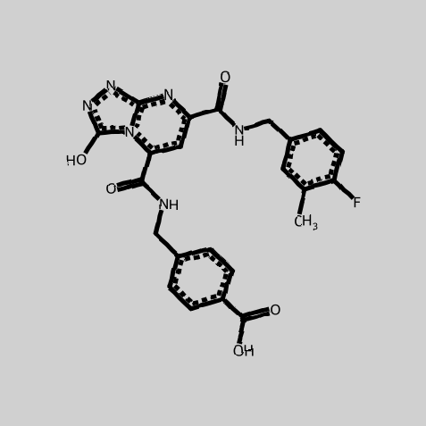 Cc1cc(CNC(=O)c2cc(C(=O)NCc3ccc(C(=O)O)cc3)n3c(O)nnc3n2)ccc1F